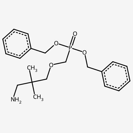 CC(C)(CN)COCP(=O)(OCc1ccccc1)OCc1ccccc1